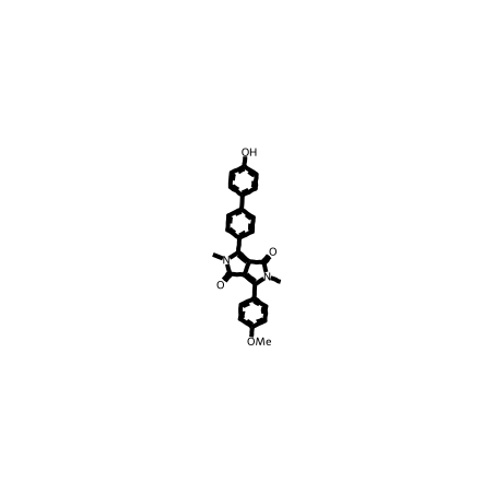 COc1ccc(C2=C3C(=O)N(C)C(c4ccc(-c5ccc(O)cc5)cc4)=C3C(=O)N2C)cc1